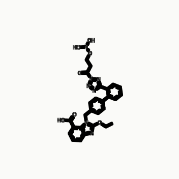 CCOc1nc2cccc(C(=O)O)c2n1Cc1ccc(-c2ccccc2-c2nnn(C(=O)CCON(O)O)n2)cc1